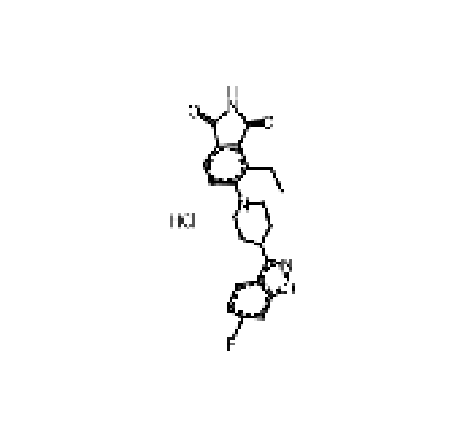 CCc1c(N2CCC(c3noc4cc(F)ccc34)CC2)ccc2c1C(=O)NC2=O.Cl